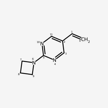 C=Cc1cnc(N2CCC2)nc1